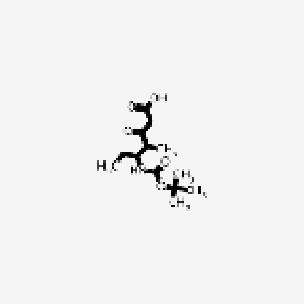 CCC(NC(=O)OC(C)(C)C)C(C)C(=O)CC(=O)O